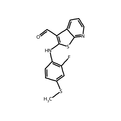 CSc1ccc(Nc2sc3ncccc3c2C=O)c(F)c1